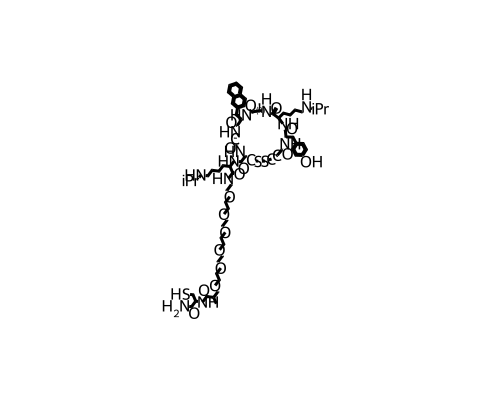 CC(C)NCCCCC(NC(=O)C1CSSCCC(=O)NC(Cc2ccc(O)cc2)C(=O)NC(CCCCNC(C)C)C(=O)N[C@H](C)C(=O)NC(Cc2ccc3ccccc3c2)C(=O)NCC(=O)N1)C(=O)NCCOCCOCCOCCOCCOCCOCC(C)C(=O)NC(CS)C(N)=O